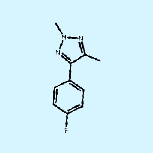 Cc1nn(C)nc1-c1ccc(F)cc1